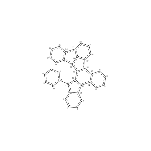 c1ccc(-n2c3ccccc3c3c4ccccc4c4c5cccc6c7ccccc7n(c65)c4c32)nc1